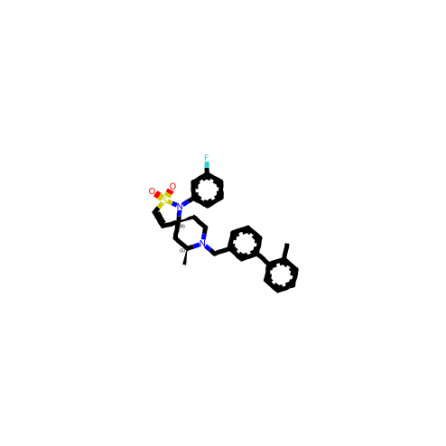 Cc1ccccc1-c1cccc(CN2CC[C@]3(C=CS(=O)(=O)N3c3cccc(F)c3)C[C@@H]2C)c1